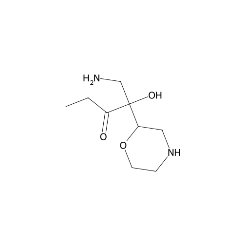 CCC(=O)C(O)(CN)C1CNCCO1